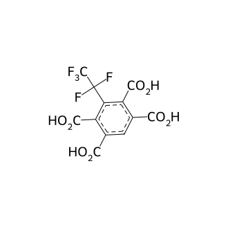 O=C(O)c1cc(C(=O)O)c(C(=O)O)c(C(F)(F)C(F)(F)F)c1C(=O)O